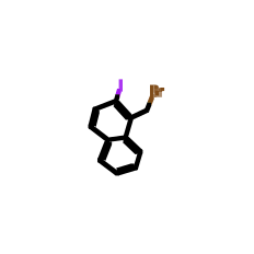 BrCc1c(I)ccc2ccccc12